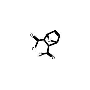 O=C(Cl)C1C2C=CC(O2)C1C(=O)Cl